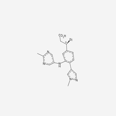 CC[C@H](CC(=O)O)c1ccc(-c2cnn(C)c2)c(Nc2cnc(C)nc2)c1